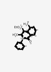 CCOC(=O)c1c(C)n(-c2ccccc2)c(=O)c2cccc(C)c12